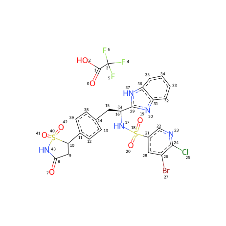 O=C(O)C(F)(F)F.O=C1CC(c2ccc(C[C@H](NS(=O)(=O)c3cnc(Cl)c(Br)c3)c3nc4ccccc4[nH]3)cc2)S(=O)(=O)N1